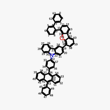 c1ccc(-c2ccccc2-c2cccc3c2oc2c(-c4ccc5c(c4)c4ccccc4n5-c4ccc(-c5c6ccccc6c(-c6ccccc6)c6ccccc56)cc4)cccc23)cc1